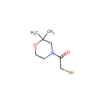 CC1(C)CN(C(=O)CS)CCO1